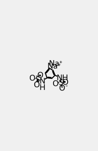 O=S(=O)([O-])Nc1cccc(NS(=O)(=O)[O-])c1.[Na+].[Na+]